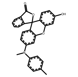 Cc1ccc(N(C)c2ccc3c(c2)Oc2cc(O)ccc2C32OC(=O)c3ccccc32)cc1